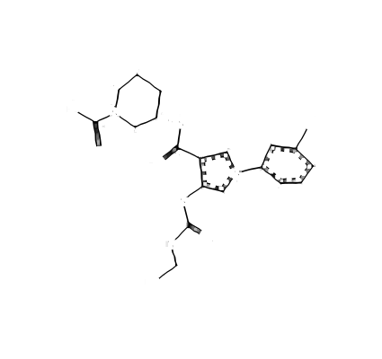 CCNC(=O)Nc1cn(-c2cccc(F)c2)cc1C(=O)N[C@H]1CCCN(C(=O)O)C1